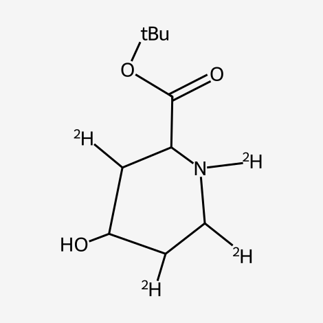 [2H]C1C(O)C([2H])C(C(=O)OC(C)(C)C)N([2H])C1[2H]